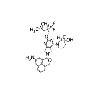 CN(C)CC1(COc2nc3c(c(N4CCC[C@@](C)(O)C4)n2)CN(C(=O)c2cc(N)cc4cccc(I)c24)C3)CC1(F)F